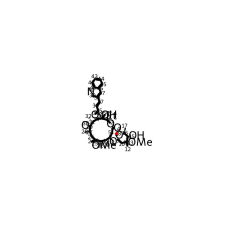 CC[C@H]1OC(=O)[C@H](C)[C@@H](O[C@H]2C[C@@](C)(OC)[C@@H](O)[C@H](C)O2)[C@H](C)[C@@H](C)[C@](C)(OC)C[C@@H](C)C(=O)[C@H](C)[C@@H](OC/C=C/c2cnc3ccccc3c2)[C@]1(C)O